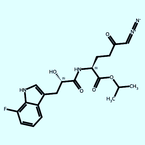 CC(C)OC(=O)[C@H](CCC(=O)C=[N+]=[N-])NC(=O)[C@@H](O)Cc1c[nH]c2c(F)cccc12